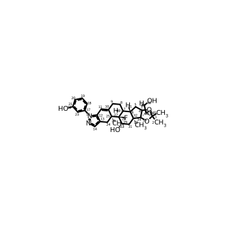 CC1(C)O[C@@H]2C[C@H]3[C@@H]4CCC5=Cc6c(cnn6-c6cccc(O)c6)C[C@]5(C)[C@@]4(F)[C@@H](O)C[C@]3(C)[C@]2(C(=O)CO)O1